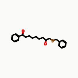 O=C(CCCCCCC(=O)c1ccccc1)CSCc1ccccc1